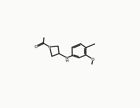 COc1cc(NC2CN(C(C)=O)C2)ccc1C